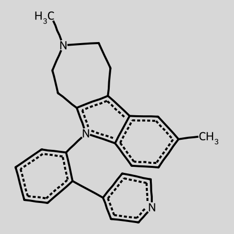 Cc1ccc2c(c1)c1c(n2-c2ccccc2-c2ccncc2)CCN(C)CC1